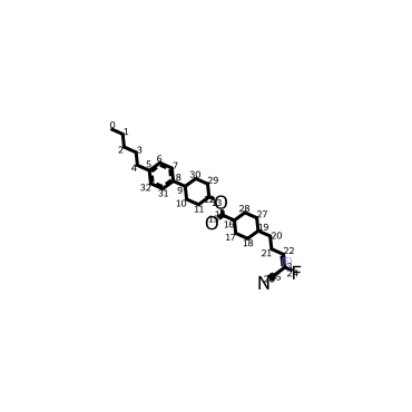 CCCCCc1ccc(C2CCC(OC(=O)C3CCC(CC/C=C(/F)C#N)CC3)CC2)cc1